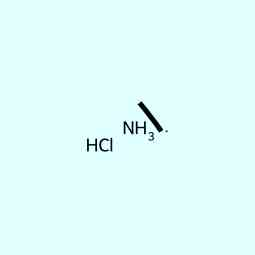 Cl.N.[CH2]C